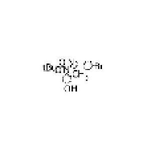 Cc1cc(O)ccc1N(C(=O)OC(C)(C)C)C1=NCC(c2ccc(Br)cc2)=C1